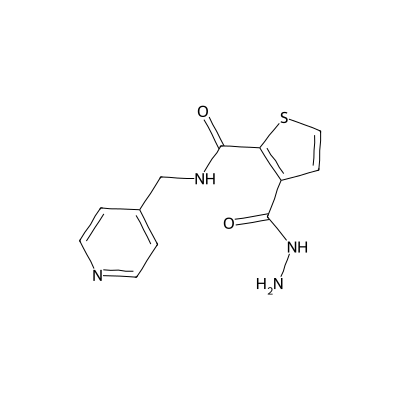 NNC(=O)c1ccsc1C(=O)NCc1ccncc1